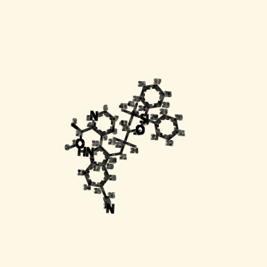 CO[C@@H](C)c1ncccc1-c1[nH]c2ccc(C#N)cc2c1CC(C)(C)CO[Si](c1ccccc1)(c1ccccc1)C(C)(C)C